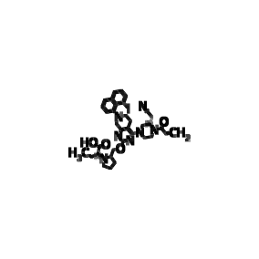 C=CC(=O)N1CCN(c2nc(OCC3CCCN3[C@@H](CC)C(=O)O)nc3c2CCN(c2cccc4cccc(I)c24)C3)C[C@@H]1CC#N